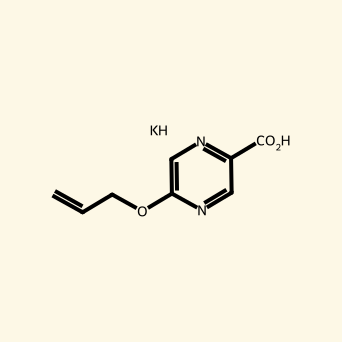 C=CCOc1cnc(C(=O)O)cn1.[KH]